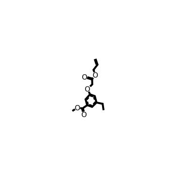 C=CCOC(=O)COc1cc(CC)cc(C(=O)OC)c1